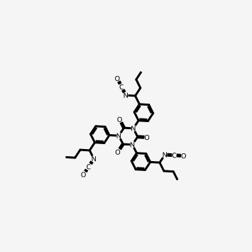 CCCC(N=C=O)c1cccc(-n2c(=O)n(-c3cccc(C(CCC)N=C=O)c3)c(=O)n(-c3cccc(C(CCC)N=C=O)c3)c2=O)c1